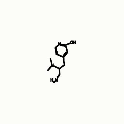 CN(C)C(CN)Cc1ccnc(O)c1